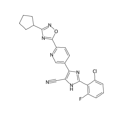 N#Cc1[nH]c(-c2c(F)cccc2Cl)nc1-c1ccc(-c2nc(C3CCCC3)no2)nc1